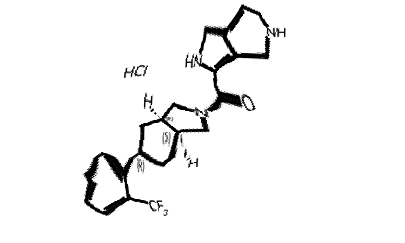 Cl.O=C(C1=C2CNCC=C2CN1)N1C[C@H]2C[C@@H](c3ccccc3C(F)(F)F)C[C@H]2C1